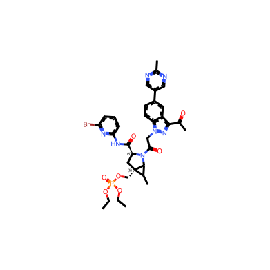 CCOP(=O)(OCC)OC[C@]12C[C@@H](C(=O)Nc3cccc(Br)n3)N(C(=O)Cn3nc(C(C)=O)c4cc(-c5cnc(C)nc5)ccc43)C1C2C